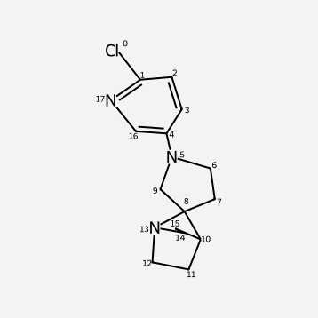 Clc1ccc(N2CCC3(C2)C2CCN3CC2)cn1